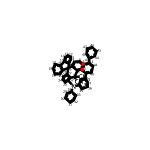 CC1(C)c2ccccc2C2(c3ccccc3-c3ccccc32)c2cccc(N(c3ccccc3)c3cccc(-c4ccc(-c5ccccc5)cc4)c3)c21